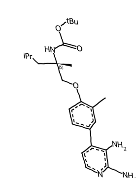 Cc1cc(-c2ccnc(N)c2N)ccc1OC[C@](C)(CC(C)C)NC(=O)OC(C)(C)C